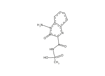 CP(=O)(O)NC(=O)c1nc2ccccc2n(N)c1=O